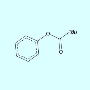 CC(C)(C)C(=O)Oc1ccccc1